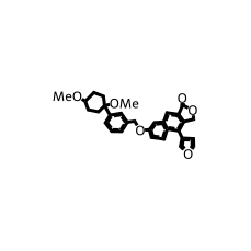 COC1CCC(OC)(c2cccc(COc3ccc4c(-c5ccoc5)c5c(cc4c3)C(=O)OC5)c2)CC1